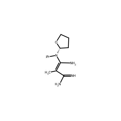 C/C(C(=N)N)=C(/N)N(C(C)C)[C@H]1CCCO1